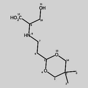 CC1(C)COC(CCNC(CO)C(=O)O)OC1